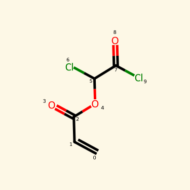 C=CC(=O)OC(Cl)C(=O)Cl